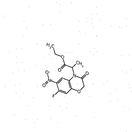 CCOC(=O)C(C)N1C(=O)COc2cc(F)c([N+](=O)[O-])cc21